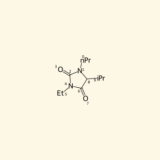 CCCN1C(=O)N(CC)C(=O)C1C(C)C